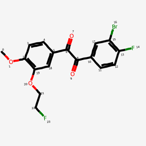 COc1ccc(C(=O)C(=O)c2ccc(F)c(Br)c2)cc1OCCF